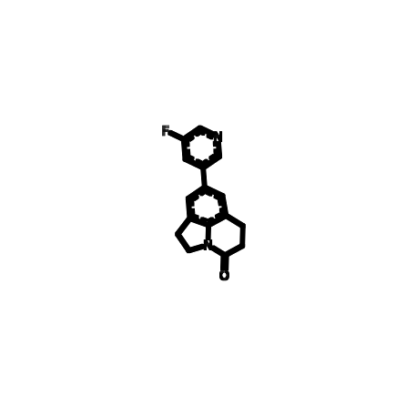 O=C1CCc2cc(-c3cncc(F)c3)cc3c2N1CC3